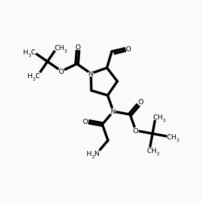 CC(C)(C)OC(=O)N1CC(N(C(=O)CN)C(=O)OC(C)(C)C)CC1C=O